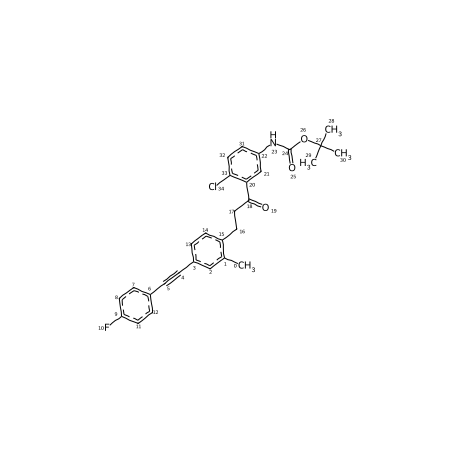 Cc1cc(C#Cc2ccc(F)cc2)ccc1CCC(=O)c1cc(NC(=O)OC(C)(C)C)ccc1Cl